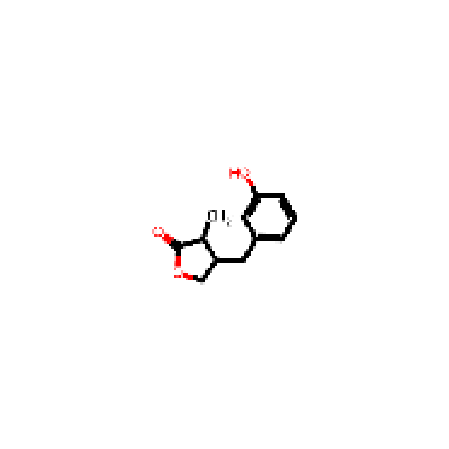 [CH2]C1C(=O)OCC1Cc1cccc(O)c1